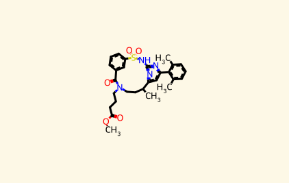 COC(=O)CCCN1CCC(C)c2cc(-c3c(C)cccc3C)nc(n2)NS(=O)(=O)c2cccc(c2)C1=O